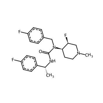 C[C@@H](NC(=O)N(Cc1ccc(F)cc1)[C@@H]1CCN(C)C[C@@H]1F)c1ccc(F)cc1